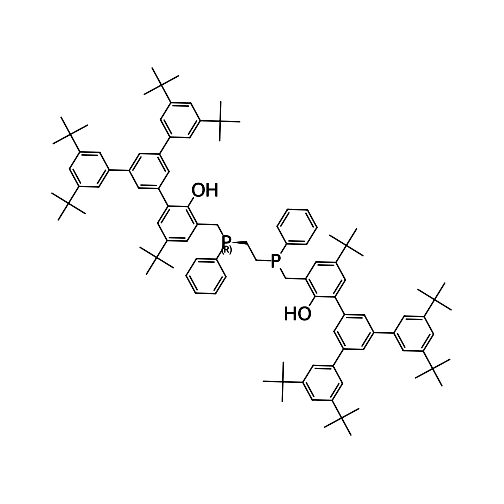 CC(C)(C)c1cc(-c2cc(-c3cc(C(C)(C)C)cc(C(C)(C)C)c3)cc(-c3cc(C(C)(C)C)cc(CP(CC[P@](Cc4cc(C(C)(C)C)cc(-c5cc(-c6cc(C(C)(C)C)cc(C(C)(C)C)c6)cc(-c6cc(C(C)(C)C)cc(C(C)(C)C)c6)c5)c4O)c4ccccc4)c4ccccc4)c3O)c2)cc(C(C)(C)C)c1